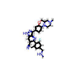 CNCc1cc(C)c(-c2nc3c(-c4ccc5c(c4)OCC4CN(C)CCN54)n[nH]c3cc2C#N)c(F)c1